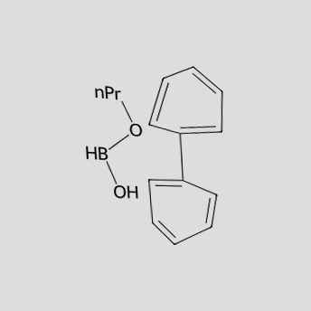 CCCOBO.c1ccc(-c2ccccc2)cc1